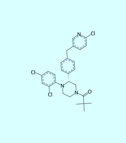 CC(C)(C)C(=O)N1CCN(c2ccc(Cl)cc2Cl)[C@H](c2ccc(Cc3ccc(Cl)nc3)cc2)C1